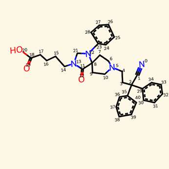 N#CC(CCN1CCC2(CC1)C(=O)N(CCCCC(=O)O)CN2c1ccccc1)(c1ccccc1)c1ccccc1